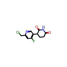 O=C1CCC(c2cnc(CCl)cc2F)C(=O)N1